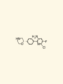 Nc1cc(F)c(Cl)nc1-c1ccc([C@H]2CNCCO2)cc1